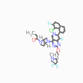 C=CC(=O)N1CC[C@@H]2[C@H]1CN2c1nc(OCC[C@@H]2CC(F)(F)CN2C)nc2c(F)c(-c3cccc4ccc(F)c(Cl)c34)ncc12